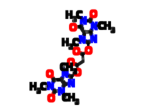 Cn1c(=O)c2c(nc(OC(=O)CC(=O)Oc3nc4c(c(=O)n(C)c(=O)n4C)n3C)n2C)n(C)c1=O